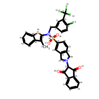 Cc1c(N(Cc2ccc(F)c(C(F)(F)F)c2)S(=O)(=O)c2ccc3c(c2)CN(C2C(=O)c4ccccc4C2=O)C3)sc2ccccc12